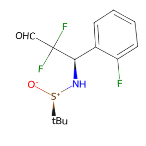 CC(C)(C)[S@@+]([O-])N[C@H](c1ccccc1F)C(F)(F)C=O